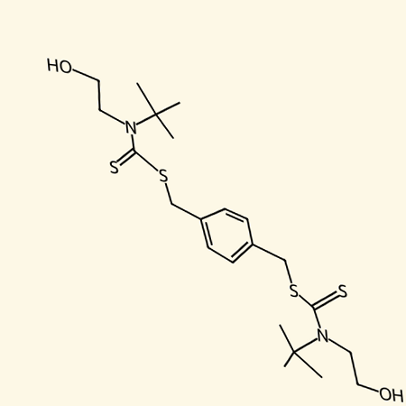 CC(C)(C)N(CCO)C(=S)SCc1ccc(CSC(=S)N(CCO)C(C)(C)C)cc1